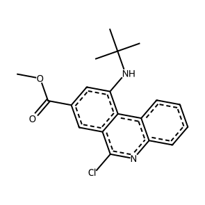 COC(=O)c1cc(NC(C)(C)C)c2c(c1)c(Cl)nc1ccccc12